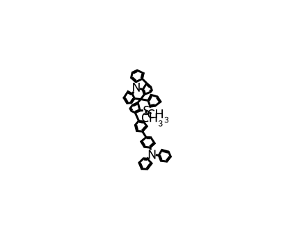 CS1(C)c2ccccc2C2(c3ccccc3-n3c4ccccc4c4cccc2c43)c2cccc(-c3ccc(-c4ccc(N(c5ccccc5)c5ccccc5)cc4)cc3)c21